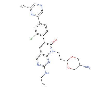 CCNc1ncc2cc(-c3ccc(-c4cncc(C)n4)cc3Cl)c(=O)n(CCC3OCC(N)CO3)c2n1